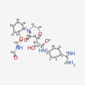 N=C(N)c1ccc(NC(=O)[C@H](O)[C@H]2OCCN(c3ccccc3OCNC=O)C2=O)cc1